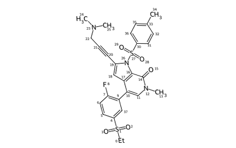 CCS(=O)(=O)c1ccc(F)c(-c2cn(C)c(=O)c3c2cc(C#CCN(C)C)n3S(=O)(=O)c2ccc(C)cc2)c1